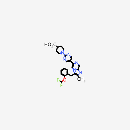 Cc1nc2cnc(-c3cnc(N4CCC(C(=O)O)CC4)nc3)cn2c1Cc1ccccc1OC(F)F